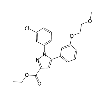 CCOC(=O)c1cc(-c2cccc(OCCOC)c2)n(-c2cccc(Cl)c2)n1